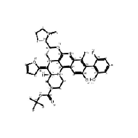 CN1CCC[C@H]1[C@H]1CN2C(=C3CC=CO3)[C@H]3CN(C(=O)OC(C)(C)C)CCN3c3c2c(nc2c(F)c(-c4c(O)cccc4F)c(Cl)cc32)O1